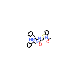 CC(=O)N1C(=Cc2nc3c(Cc4ccccc4)[nH]c(-c4ccccc4)cn-3c2=O)Sc2ccccc21